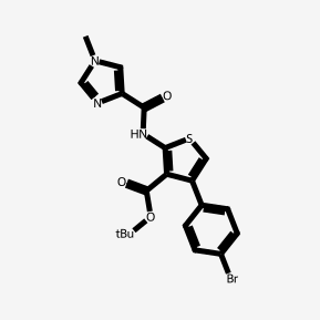 Cn1cnc(C(=O)Nc2scc(-c3ccc(Br)cc3)c2C(=O)OC(C)(C)C)c1